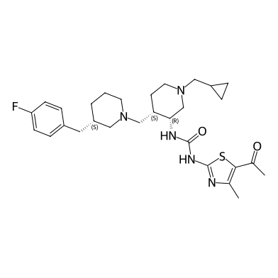 CC(=O)c1sc(NC(=O)N[C@H]2CN(CC3CC3)CC[C@H]2CN2CCC[C@@H](Cc3ccc(F)cc3)C2)nc1C